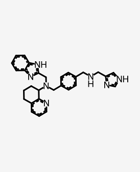 c1cnc2c(c1)CCCC2N(Cc1ccc(CNCc2c[nH]cn2)cc1)Cc1nc2ccccc2[nH]1